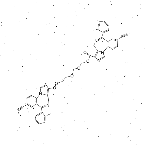 C#Cc1ccc2c(c1)C(c1ccccc1C)=NCc1c(OOCCOCOCOC(=O)c3ncn4c3CN=C(c3ccccc3C)c3cc(C#C)ccc3-4)ncn1-2